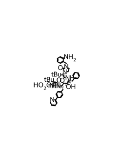 CC(C)(C)[C@H](NC(=O)O)C(=O)N[C@@H](Cc1ccc(-c2ccccn2)cc1)C[C@H](O)[C@H](Cc1ccccc1)NC(=O)[C@@H](N1CCN(Cc2ccccc2N)C1=O)C(C)(C)C